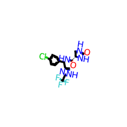 O=C1NC[C@@H](C(=O)N[C@H](c2ccc(Cl)cc2)c2c[nH]c(C(F)(F)F)n2)N1